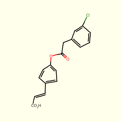 O=C(O)/C=C/c1ccc(OC(=O)Cc2cccc(Cl)c2)cc1